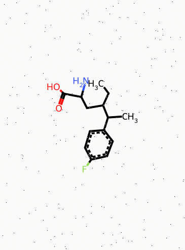 CCC(CC(N)C(=O)O)C(C)c1ccc(F)cc1